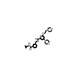 O=C(NC1CC1)c1cccc(C=NNc2cc(N3CCOCC3)cc(OCCN3CCOCC3)n2)c1